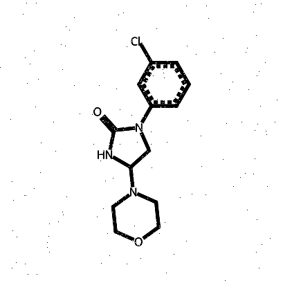 O=C1NC(N2CCOCC2)CN1c1cccc(Cl)c1